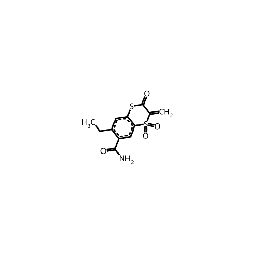 C=C1C(=O)Sc2cc(CC)c(C(N)=O)cc2S1(=O)=O